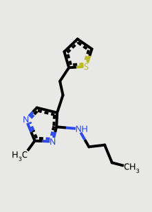 CCCCNc1nc(C)ncc1CCc1cccs1